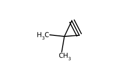 CC1(C)C#C1